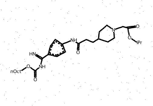 CCCCCCCCOC(=O)NC(=N)c1ccc(NC(=O)CCC2CCN(CC(=O)OC(C)C)CC2)cc1